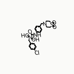 O=C(Nc1ccc(CN2CCS(=O)(=O)CC2)cc1)[N+](O)(O)Cc1ccc(Cl)cc1